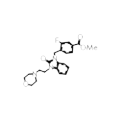 COC(=O)c1ccc(Cn2c(=O)n(CCN3CCOCC3)c3ccccc32)c(F)c1